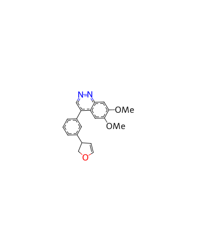 COc1cc2nncc(-c3cccc(C4C=COC4)c3)c2cc1OC